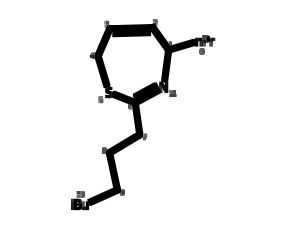 CCCC1C=CCSC(CCCC(C)CC)=N1